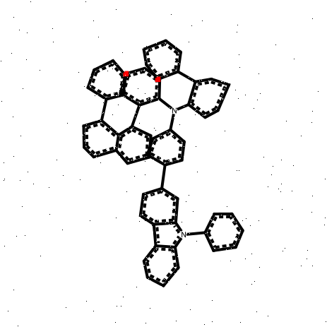 c1ccc(-c2ccccc2N(c2ccc(-c3ccc4c5ccccc5n(-c5ccccc5)c4c3)cc2)c2ccccc2-c2cccc3cccc(-c4ccccc4)c23)cc1